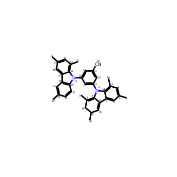 CC1=c2c(c3cc(C)cc(C)c3n2-c2cc(C#N)cc(-n3c4ccc(C)cc4c4cc(C)cc(C)c43)c2)=CC(C)C1